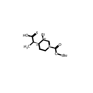 CC[C@H]1CN(C(=O)OC(C)(C)C)CC[C@H]1C(C)C(O)=S